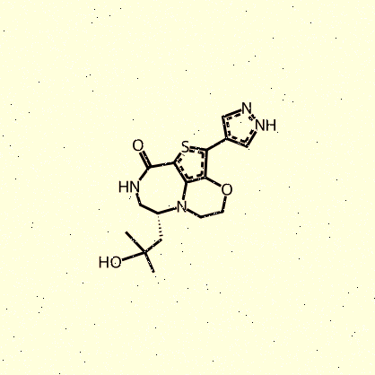 CC(C)(O)C[C@@H]1CNC(=O)c2sc(-c3cn[nH]c3)c3c2N1CCO3